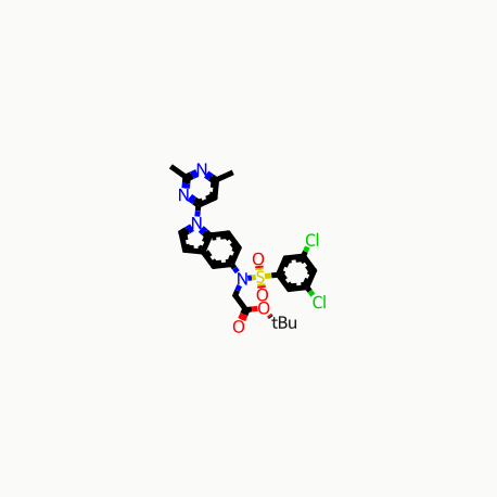 Cc1cc(-n2ccc3cc(N(CC(=O)OC(C)(C)C)S(=O)(=O)c4cc(Cl)cc(Cl)c4)ccc32)nc(C)n1